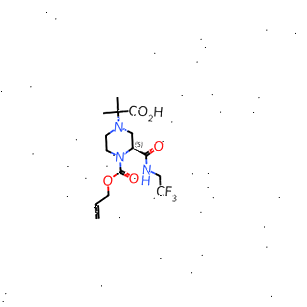 C=CCOC(=O)N1CCN(C(C)(C)C(=O)O)C[C@H]1C(=O)NCC(F)(F)F